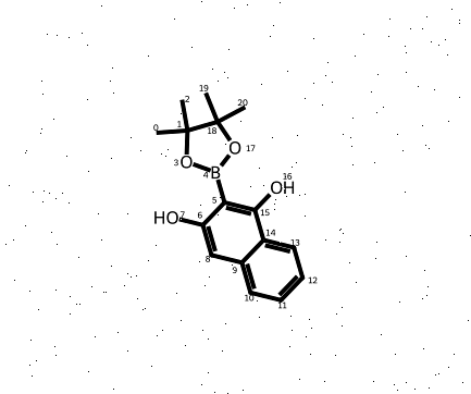 CC1(C)OB(c2c(O)cc3ccccc3c2O)OC1(C)C